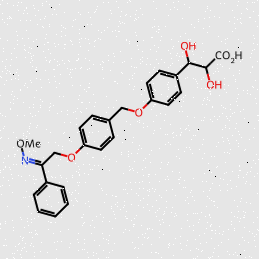 CO/N=C(\COc1ccc(COc2ccc(C(O)C(O)C(=O)O)cc2)cc1)c1ccccc1